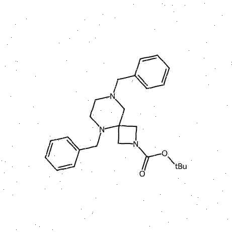 CC(C)(C)OC(=O)N1CC2(CN(Cc3ccccc3)CCN2Cc2ccccc2)C1